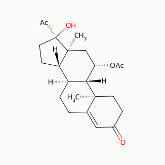 CC(=O)O[C@H]1C[C@@]2(C)[C@@H](CC[C@]2(O)C(C)=O)[C@@H]2CCC3=CC(=O)CC[C@]3(C)[C@H]21